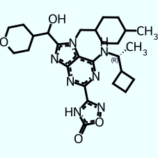 CC1CCC(Cn2c(C(O)C3CCOCC3)nc3nc(-c4noc(=O)[nH]4)nc(N[C@H](C)C4CCC4)c32)CC1